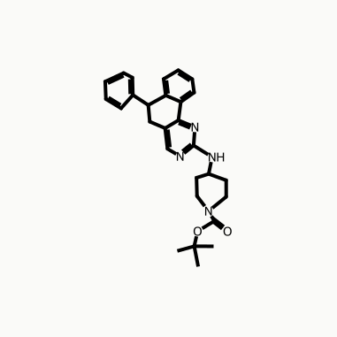 CC(C)(C)OC(=O)N1CCC(Nc2ncc3c(n2)-c2ccccc2C(c2ccccc2)C3)CC1